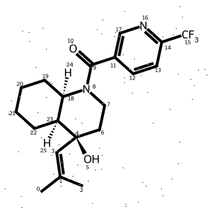 CC(C)=C[C@@]1(O)CCN(C(=O)c2ccc(C(F)(F)F)nc2)[C@@H]2CCCC[C@@H]21